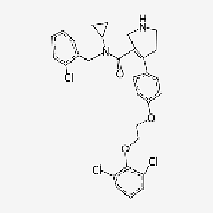 O=C(C1=C(c2ccc(OCCOc3c(Cl)cccc3Cl)cc2)CCNC1)N(Cc1ccccc1Cl)C1CC1